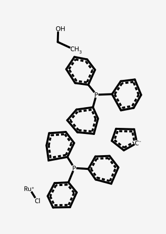 CCO.[Cl][Ru+].c1cc[cH-]c1.c1ccc(P(c2ccccc2)c2ccccc2)cc1.c1ccc(P(c2ccccc2)c2ccccc2)cc1